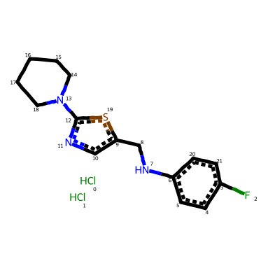 Cl.Cl.Fc1ccc(NCc2cnc(N3CCCCC3)s2)cc1